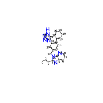 CC=Cc1nc2cccnc2n1Cc1ccc(-c2ccccc2-c2nnn[nH]2)cc1